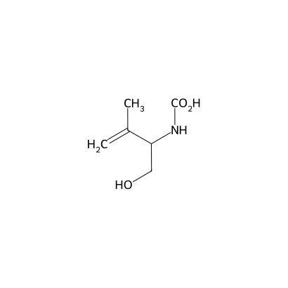 C=C(C)C(CO)NC(=O)O